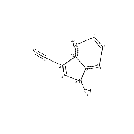 N#Cc1cn(O)c2cccnc12